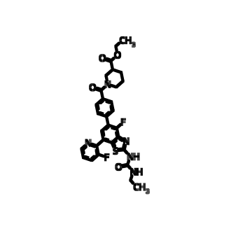 CCNC(=O)Nc1nc2c(F)c(-c3ccc(C(=O)N4CCCC(C(=O)OCC)C4)cc3)cc(-c3ncccc3F)c2s1